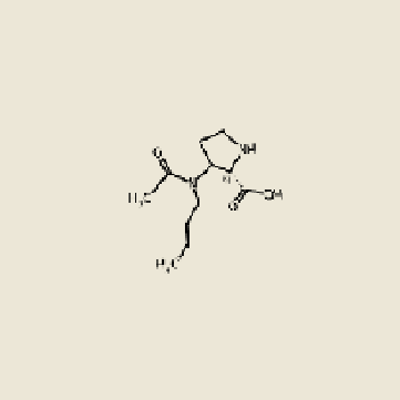 CCCCN(C(C)=O)C1CCN[C@@H]1C(=O)O